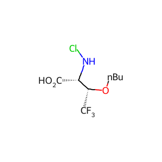 CCCCO[C@@H]([C@@H](NCl)C(=O)O)C(F)(F)F